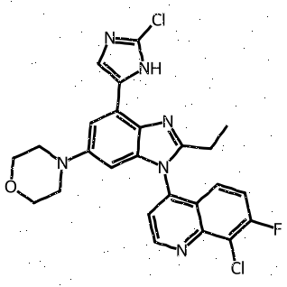 CCc1nc2c(-c3cnc(Cl)[nH]3)cc(N3CCOCC3)cc2n1-c1ccnc2c(Cl)c(F)ccc12